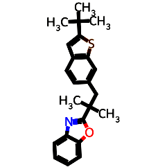 CC(C)(C)c1cc2ccc(CC(C)(C)c3nc4ccccc4o3)cc2s1